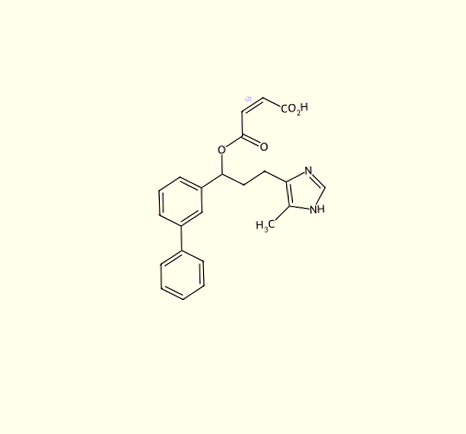 Cc1[nH]cnc1CCC(OC(=O)/C=C\C(=O)O)c1cccc(-c2ccccc2)c1